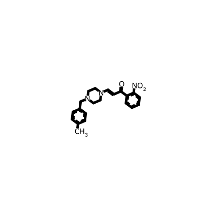 Cc1ccc(CN2CCN(C=CC(=O)c3ccccc3[N+](=O)[O-])CC2)cc1